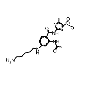 CC(=O)Nc1cc(NCCCCCN)ccc1C(=O)Nc1nc(C)c([N+](=O)[O-])s1